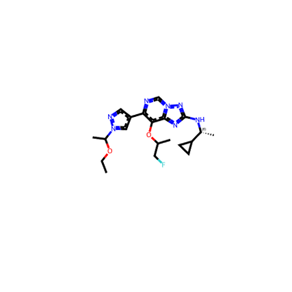 CCOC(C)n1cc(-c2ncn3nc(N[C@H](C)C4CC4)nc3c2OC(C)CF)cn1